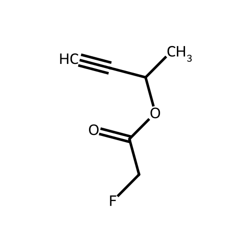 C#CC(C)OC(=O)CF